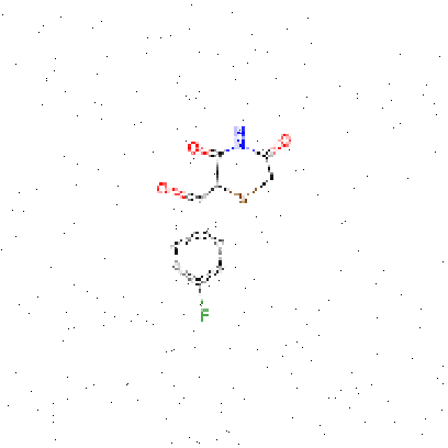 O=C1CSC(C(=O)c2ccc(F)cc2)C(=O)N1